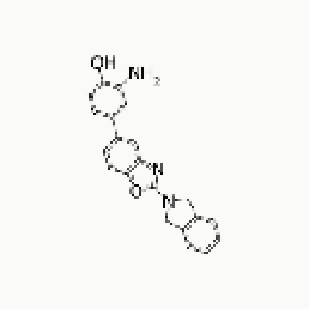 Nc1cc(-c2ccc3oc(N4Cc5ccccc5C4)nc3c2)ccc1O